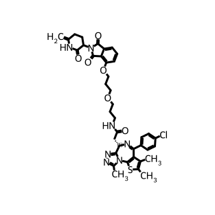 C=C1CCC(N2C(=O)c3cccc(OCCCOCCCNC(=O)C[C@@H]4N=C(c5ccc(Cl)cc5)c5c(sc(C)c5C)-n5c(C)nnc54)c3C2=O)C(=O)N1